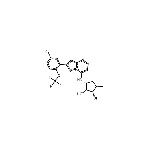 [CH2][C@@H]1C[C@@H](Nc2ccnc3cc(-c4cc(Cl)ccc4OC(F)(F)F)nn23)[C@H](O)[C@@H]1O